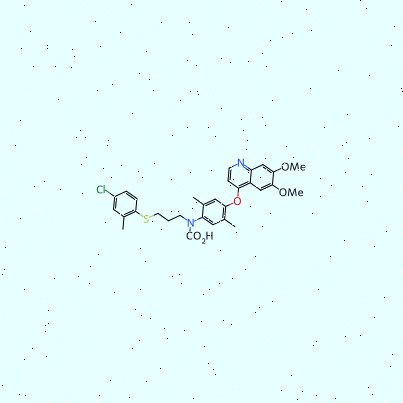 COc1cc2nccc(Oc3cc(C)c(N(CCCSc4ccc(Cl)cc4C)C(=O)O)cc3C)c2cc1OC